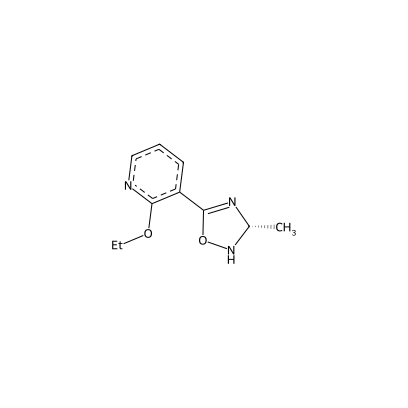 CCOc1ncccc1C1=N[C@H](C)NO1